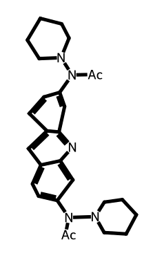 CC(=O)N(c1ccc2cc3ccc(N(C(C)=O)N4CCCCC4)cc3nc2c1)N1CCCCC1